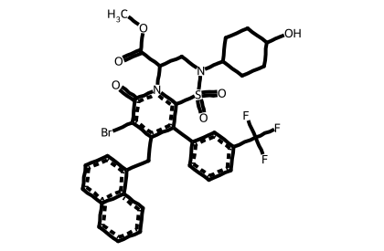 COC(=O)C1CN(C2CCC(O)CC2)S(=O)(=O)c2c(-c3cccc(C(F)(F)F)c3)c(Cc3cccc4ccccc34)c(Br)c(=O)n21